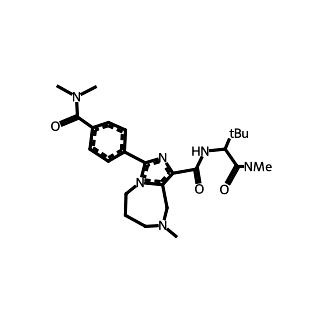 CNC(=O)C(NC(=O)c1nc(-c2ccc(C(=O)N(C)C)cc2)n2c1CN(C)CCC2)C(C)(C)C